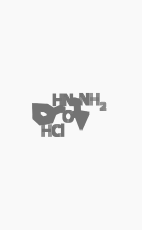 Cl.N=C(N)C1(OCc2ccccc2)CC1